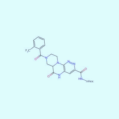 CCCCCCNC(=O)c1cc2c(nn1)N1CCN(C(=O)c3ccccc3C(F)(F)F)CC1C(=O)N2